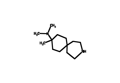 CN(C)C1(C)CCC2(CCNCC2)CC1